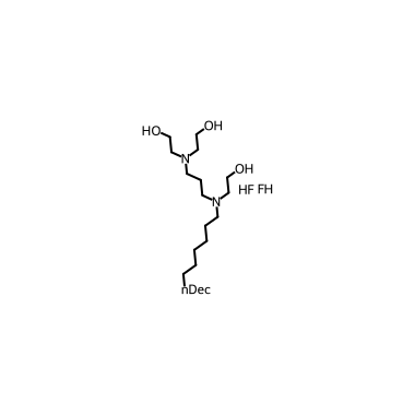 CCCCCCCCCCCCCCCCN(CCO)CCCN(CCO)CCO.F.F